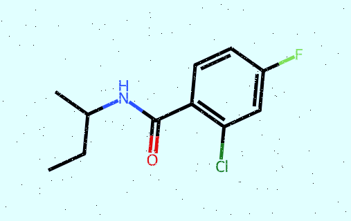 CCC(C)NC(=O)c1ccc(F)cc1Cl